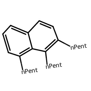 CCCCCc1ccc2cccc(CCCCC)c2c1CCCCC